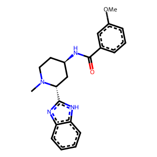 COc1cccc(C(=O)N[C@@H]2CCN(C)[C@@H](c3nc4ccccc4[nH]3)C2)c1